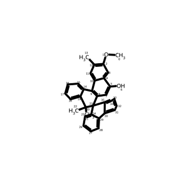 COc1cc2c(O)cc3c(c2cc1C)-c1ccccc1C(C)(C)C31c2ccccc2-c2ccccc21